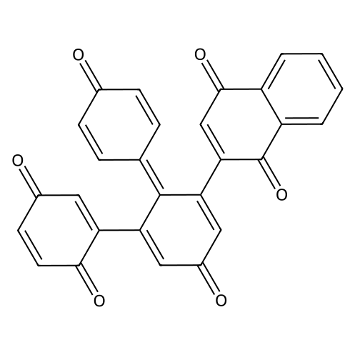 O=C1C=CC(=C2C(C3=CC(=O)C=CC3=O)=CC(=O)C=C2C2=CC(=O)c3ccccc3C2=O)C=C1